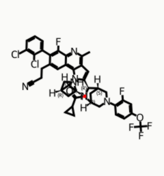 Cc1nc2c(F)c(-c3cccc(Cl)c3Cl)c(CCC#N)cc2c2c1cc([C@H]1[C@H]3C[C@H](CN(c4ccc(OC(F)(F)F)cc4F)C3)N1C(=O)C1CC1)n2[C@H]1[C@H]2CN[C@@H]1C2